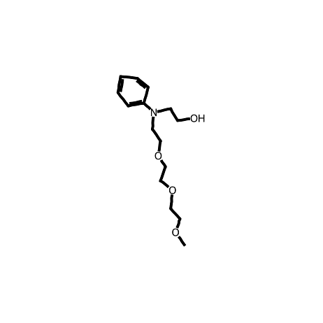 COCCOCCOCCN(CCO)c1ccccc1